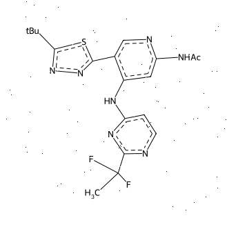 CC(=O)Nc1cc(Nc2ccnc(C(C)(F)F)n2)c(-c2nnc(C(C)(C)C)s2)cn1